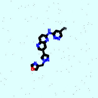 CC(C)c1cnnc(Nc2ccc3ncc(-c4cnn(Cc5cocn5)c4)cc3n2)c1